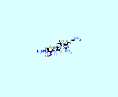 NCCSCc1nc(N)sc1SC1(C(=O)O)CS[C@@H]2[C@H](NC(=O)C(=NO)c3nc(N)sc3Cl)C(=O)N2C1